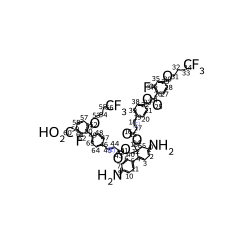 NC1=CC=C(c2ccc(N)cc2)C(COC(=O)/C=C/c2ccc(OC(=O)c3ccc(OCCCC(F)(F)F)cc3F)cc2)(COC(=O)/C=C/c2ccc(-c3c(OCCCC(F)(F)F)ccc(C(=O)O)c3F)cc2)C1